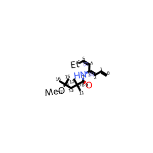 C=C/C=C(\C=C/CC)NC(=O)C(C)(C)CC(C)(C)OC